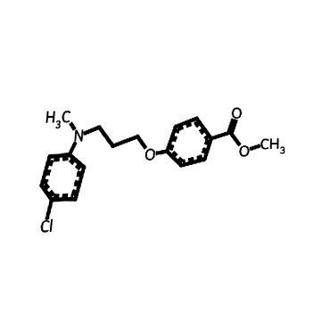 COC(=O)c1ccc(OCCCN(C)c2ccc(Cl)cc2)cc1